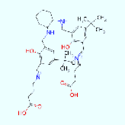 CC(C)(C)c1cc(/C=N/CCCC(=O)O)c(O)c(CNC2CCCCC2NCc2cc(C(C)(C)C)cc(/C=N/CCCC(=O)O)c2O)c1